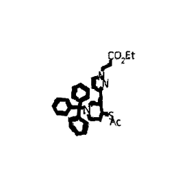 CCOC(=O)CCn1ccc(/C=C2\CN(C(c3ccccc3)(c3ccccc3)c3ccccc3)CCC2SC(C)=O)n1